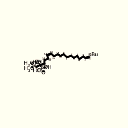 CCCC/C=C\CCCCCCCCCC/C=C\CCCC(O)(C[N+](C)(C)C)P(=O)(O)O